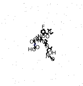 CCN(C(=O)c1cc(F)ccc1Oc1nncnc1N1CCC2(C1)CN(C(CC(O)CN(C)CCOC)C(C)C)C2)C(C)C.O=C(O)/C=C/C(=O)O